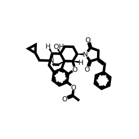 CC(=O)Oc1ccc2c3c1O[C@H]1[C@H](N4C(=O)C/C(=C/c5ccccc5)C4=O)CC[C@@]4(O)[C@@H](C2)N(CC2CC2)CC[C@]314